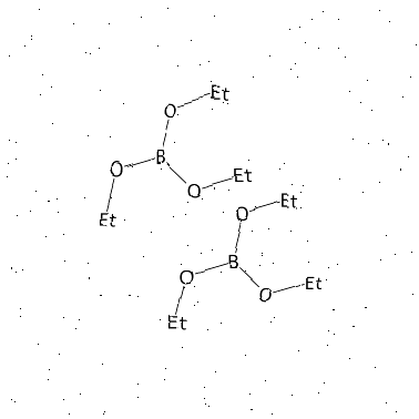 CCOB(OCC)OCC.CCOB(OCC)OCC